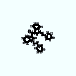 O=C(c1cn(CCN2CCCCC2)c2ccccc12)c1cn(CCN2CCCCC2)c2ccccc12